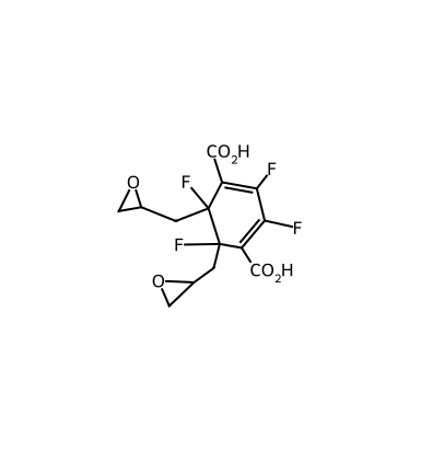 O=C(O)C1=C(F)C(F)=C(C(=O)O)C(F)(CC2CO2)C1(F)CC1CO1